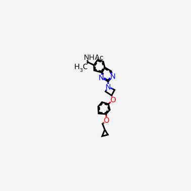 CC(=O)NC(C)c1ccc2cnc(N3CC(Oc4cccc(OCC5CC5)c4)C3)nc2c1